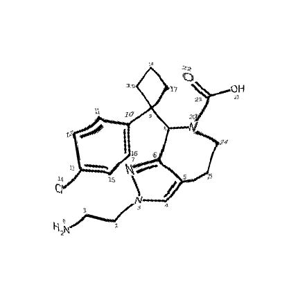 NCCn1cc2c(n1)C(C1(c3ccc(Cl)cc3)CCC1)N(C(=O)O)CC2